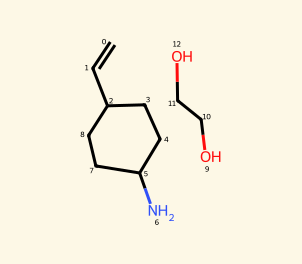 C=CC1CCC(N)CC1.OCCO